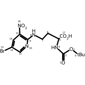 CC(C)(C)OC(=O)NC(CCNc1ncc(Br)cc1[N+](=O)[O-])C(=O)O